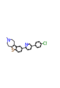 CN1CCc2sc3ccc(-c4ccc(-c5ccc(Cl)cc5)cn4)cc3c2CC1